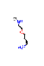 CCNCCOCC/C=C\N